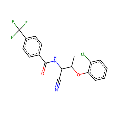 CC(Oc1ccccc1Cl)C(C#N)NC(=O)c1ccc(C(F)(F)F)cc1